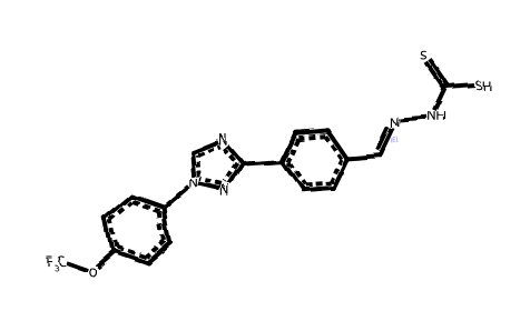 FC(F)(F)Oc1ccc(-n2cnc(-c3ccc(/C=N/NC(=S)S)cc3)n2)cc1